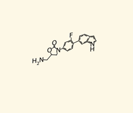 NCC1CN(c2ccc(-c3ccc4cc[nH]c4c3)c(F)c2)C(=O)O1